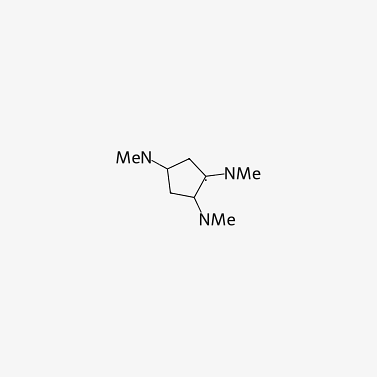 CN[C]1CC(NC)CC1NC